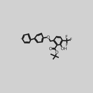 CC(C)(C)OC(=O)c1c(COc2ccc(-c3cc[c]cc3)cc2)ccc(C(F)(F)F)c1O